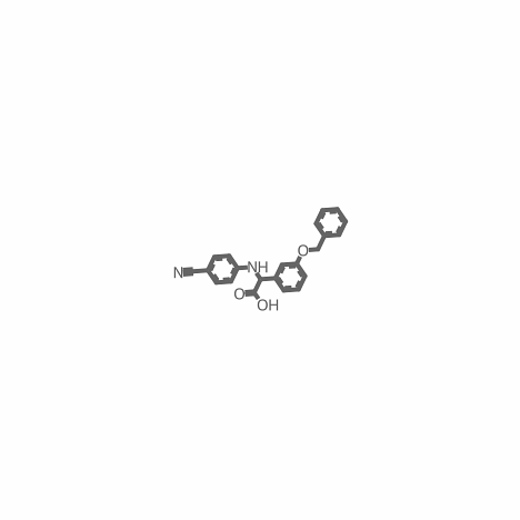 N#Cc1ccc(NC(C(=O)O)c2cccc(OCc3ccccc3)c2)cc1